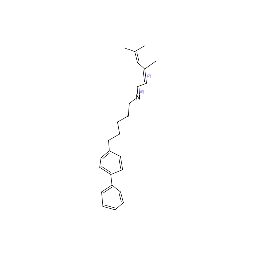 CC(C)=C/C(C)=C\C=N\CCCCCc1ccc(-c2ccccc2)cc1